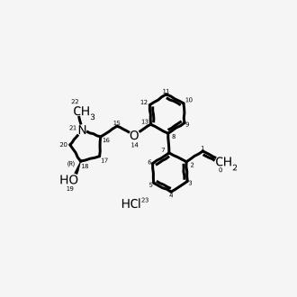 C=Cc1ccccc1-c1ccccc1OCC1C[C@@H](O)CN1C.Cl